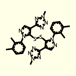 Cc1cccc(-n2ncc(-c3nnn(C)n3)c2SSc2c(-c3nnn(C)n3)cnn2-c2cccc(C)c2C)c1C